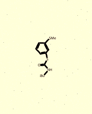 CCC(C)NC(=O)Sc1cccc(SC)c1